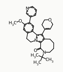 COc1cc2c(cc1-c1cccnc1)-c1c(C3=CCOCC3)c3c(n1CC2)C(=O)N(C(C)(C)C)CCCC3